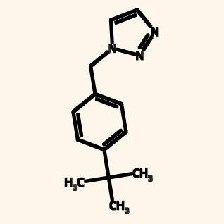 CC(C)(C)c1ccc(Cn2ccnn2)cc1